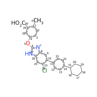 Cc1ccc(Oc2nc3cc(-c4ccc(C5CCCCC5)cc4)c(Cl)cc3[nH]2)cc1C(=O)O